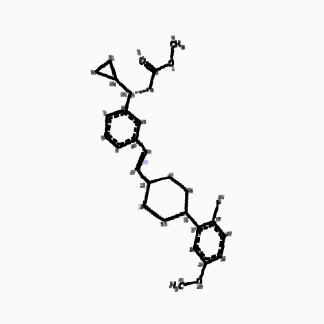 COC(=O)C[C@H](c1cccc(/C=C/C2CCC(c3cc(OC)ccc3F)CC2)c1)C1CC1